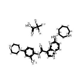 O=C(Nc1ccc(N2CCOCC2)cc1C(F)(F)F)c1cnn2ccc(N[C@@H]3CCCCNC3)nc12.O=C(O)C(F)(F)F